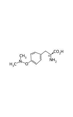 CN(C)Oc1ccc(C[C@H](N)C(=O)O)cc1